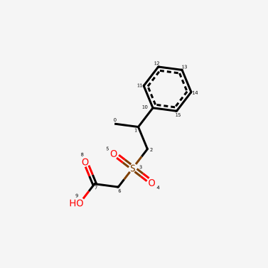 CC(CS(=O)(=O)CC(=O)O)c1ccccc1